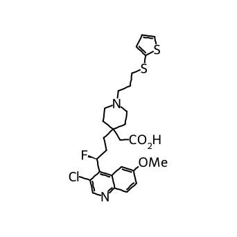 COc1ccc2ncc(Cl)c([C@@H](F)CCC3(CC(=O)O)CCN(CCCSc4cccs4)CC3)c2c1